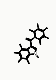 C=C(c1c(C)c(C)c(C)c(C)c1C)c1cn(C)c2c(C)c(C)c(C)c(C)c12